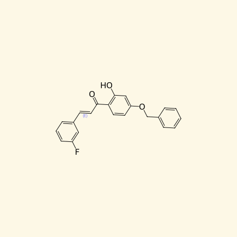 O=C(/C=C/c1cccc(F)c1)c1ccc(OCc2ccccc2)cc1O